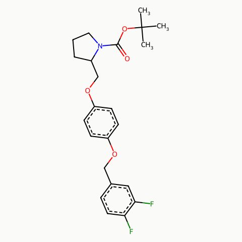 CC(C)(C)OC(=O)N1CCCC1COc1ccc(OCc2ccc(F)c(F)c2)cc1